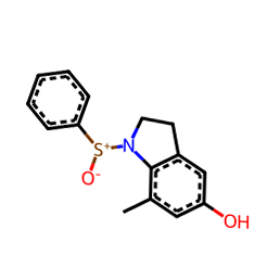 Cc1cc(O)cc2c1N([S+]([O-])c1ccccc1)CC2